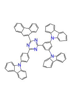 c1ccc2c(c1)cc(-c1nc(-c3ccc(-n4c5ccccc5c5ccccc54)cc3)nc(-c3cc(-n4c5ccccc5c5ccccc54)cc(-n4c5ccccc5c5ccccc54)c3)n1)c1ccccc12